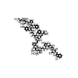 CCC(=O)N[C@H](Cc1c[nH]c2ccccc12)C(=O)NCC(=O)N[C@@H](CC(=O)O)C(=O)N1CCC[C@H]1C(=O)N(C)[C@@H](C)C(=O)N[C@@H](CC(=O)O)C(=O)N[C@H](C(=O)N(C)[C@@H](CO)C(=O)NCC(=O)N[C@@H](CCCNC(=N)N)C(=O)N(C)[C@@H](Cc1ccccc1)C(=O)N(C)CC(=O)N[C@@H](Cc1ccc(O)cc1)C(=O)N(C)[C@@H](Cc1ccccc1)C(=O)N1CCC[C@H]1C(=O)N[C@@H](CS)C(=O)NCC(N)=O)C(C)C